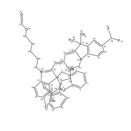 Cc1ccccc1CC1(Cc2ccccc2)C(/C=C(C#N)/C=C2\N(CCCCCC(=O)O)c3ccc(C(F)F)cc3C2(C)C)=[N+](CCCCCOC=O)c2ccc(Cl)cc21